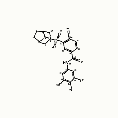 CN1C2CCC1CC(S(=O)(=O)c1cc(C(=O)Nc3cc(F)c(F)c(F)c3)ccc1Cl)C2